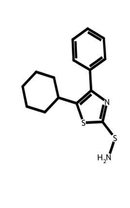 NSc1nc(-c2ccccc2)c(C2CCCCC2)s1